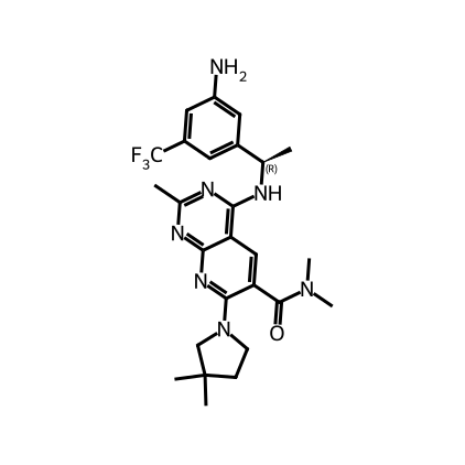 Cc1nc(N[C@H](C)c2cc(N)cc(C(F)(F)F)c2)c2cc(C(=O)N(C)C)c(N3CCC(C)(C)C3)nc2n1